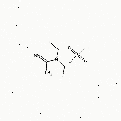 CCN(CC)C(=N)N.O=S(=O)(O)O